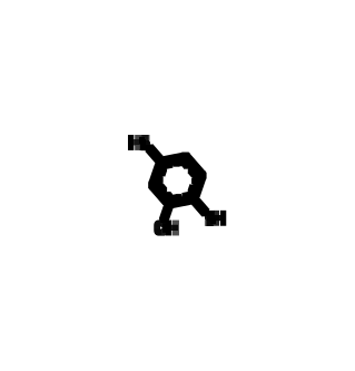 Oc1cc(S)ccc1S